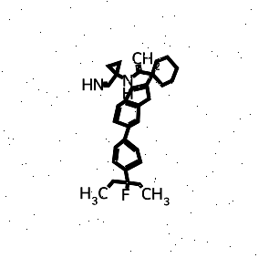 C=C(NC1(C=N)CC1)C1(C2=Cc3ccc(-c4ccc(C(F)(CC)CC)cc4)cc3C2)CCCCC1